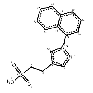 O=S(=O)(O)CCc1[c]nn(-c2cccc3ccccc23)n1